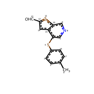 Cc1ccc(Sc2cncc3sc(C=O)cc23)cc1